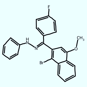 COc1cc(C(=NNc2ccccc2)c2ccc(F)cc2)c(Br)c2ccccc12